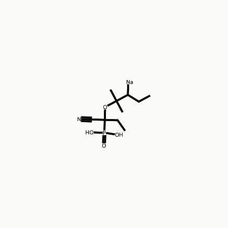 CC[CH]([Na])C(C)(C)OC(C#N)(CC)P(=O)(O)O